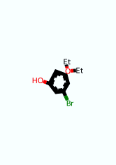 CCOCC.Oc1cccc(Br)c1